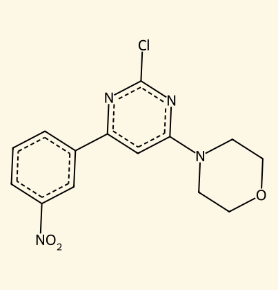 O=[N+]([O-])c1cccc(-c2cc(N3CCOCC3)nc(Cl)n2)c1